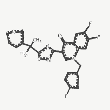 CC(C)(c1ccccc1)c1nc(-c2cn(Cc3ccc(F)cc3)c3cc(F)c(F)cc3c2=O)no1